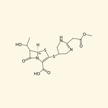 COC(=O)CC1=NCC(SC2=C(C(=O)O)N3C(=O)C(C(C)O)[C@H]3S2)CN1